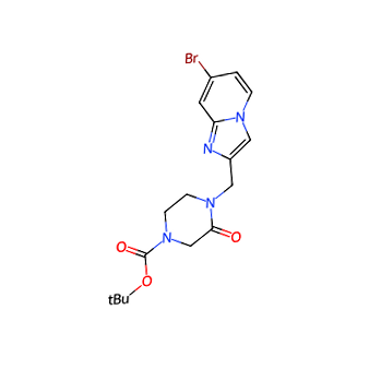 CC(C)(C)OC(=O)N1CCN(Cc2cn3ccc(Br)cc3n2)C(=O)C1